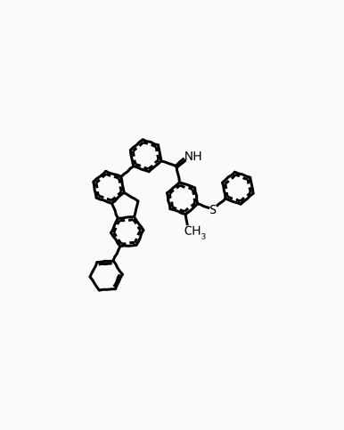 Cc1ccc(C(=N)c2cccc(-c3cccc4c3Cc3ccc(C5=CCCC=C5)cc3-4)c2)cc1Sc1ccccc1